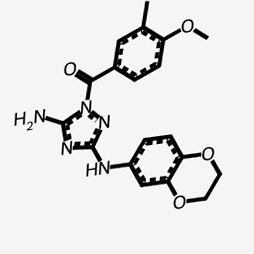 COc1ccc(C(=O)n2nc(Nc3ccc4c(c3)OCCO4)nc2N)cc1C